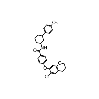 COc1ccc(C2CCCC(NC(=O)c3ccc(Oc4cc5c(cc4Cl)CCCO5)cc3)C2)cc1